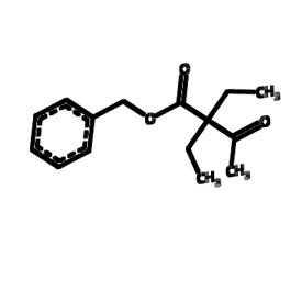 CCC(CC)(C(C)=O)C(=O)OCc1ccccc1